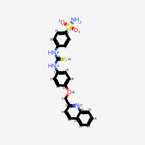 NS(=O)(=O)c1ccc(NC(=S)Nc2ccc(OCc3ccc4ccccc4n3)cc2)cc1